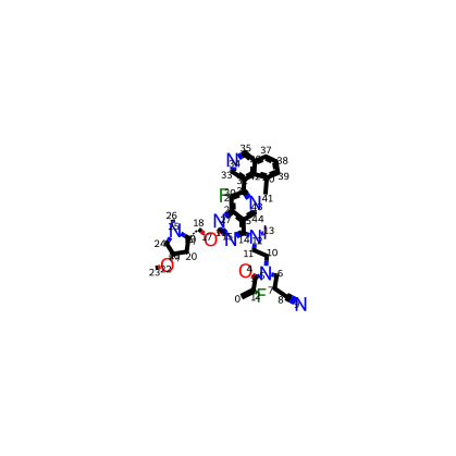 C=C(F)C(=O)N(CCC#N)CCN(I)c1nc(OC[C@@H]2C[C@@H](OC)CN2C)nc2c(F)c(-c3cncc4cccc(C)c34)ncc12